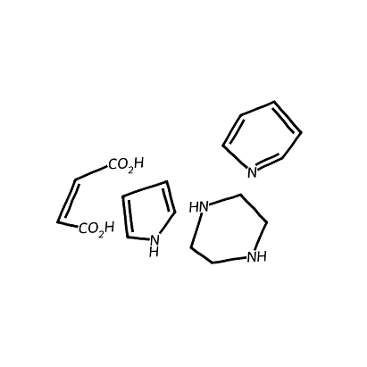 C1CNCCN1.O=C(O)/C=C\C(=O)O.c1cc[nH]c1.c1ccncc1